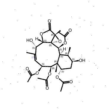 CC(=O)O[C@H]1/C=C(/C)[C@H](O)[C@@H]2OC(=O)[C@]3(C)O[C@]23[C@@H](OC(C)=O)[C@H]2[C@@H](C)[C@@H](O)C[C@H](OC(C)=O)[C@]2(C)[C@H]1OC(C)=O